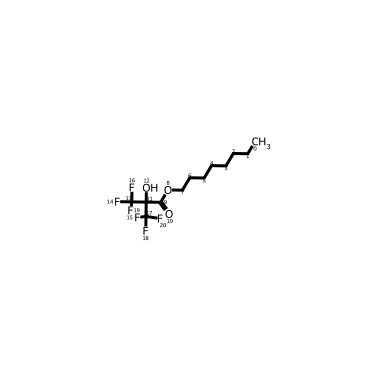 CCCCCCCCOC(=O)C(O)(C(F)(F)F)C(F)(F)F